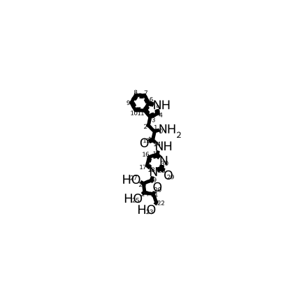 NC(Cc1c[nH]c2ccccc12)C(=O)Nc1ccn(C2OC(CO)C(O)C2O)c(=O)n1